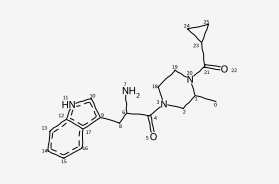 CC1CN(C(=O)C(N)Cc2c[nH]c3ccccc23)CCN1C(=O)C1CC1